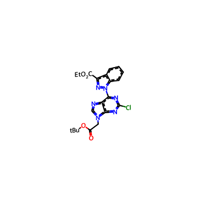 CCOC(=O)c1nn(-c2nc(Cl)nc3c2ncn3CC(=O)OC(C)(C)C)c2ccccc12